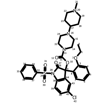 CCOc1ccccc1C1(OC(=O)N2CCN(C3CCN(C)CC3)CC2)C(=O)N(S(=O)(=O)c2ccccc2)c2ccc(Cl)cc21